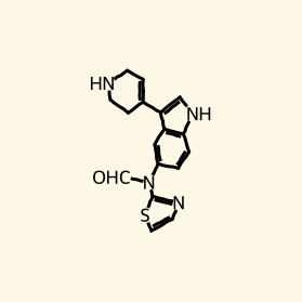 O=CN(c1ccc2[nH]cc(C3=CCNCC3)c2c1)c1nccs1